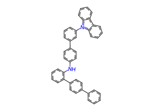 c1ccc(-c2ccc(-c3ccccc3Nc3ccc(-c4cccc(-n5c6ccccc6c6ccccc65)c4)cc3)cc2)cc1